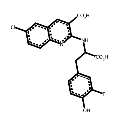 O=C(O)c1cc2cc(Cl)ccc2nc1NC(Cc1ccc(O)c(F)c1)C(=O)O